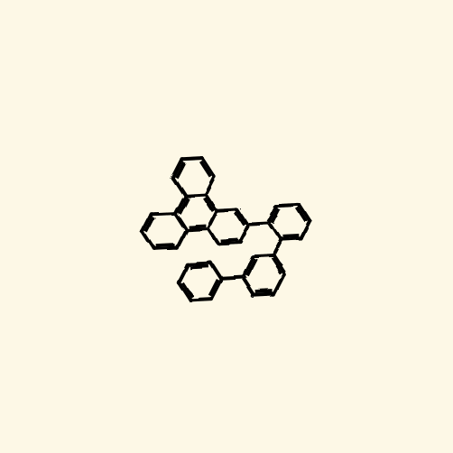 [c]1c(-c2ccccc2-c2cccc(-c3ccccc3)c2)ccc2c1c1ccccc1c1ccccc21